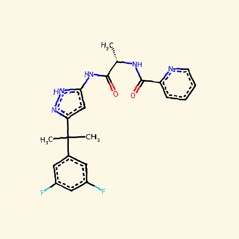 C[C@H](NC(=O)c1ccccn1)C(=O)Nc1cc(C(C)(C)c2cc(F)cc(F)c2)n[nH]1